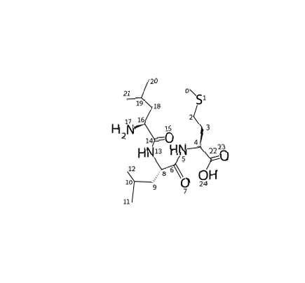 CSCC[C@H](NC(=O)[C@H](CC(C)C)NC(=O)[C@@H](N)CC(C)C)C(=O)O